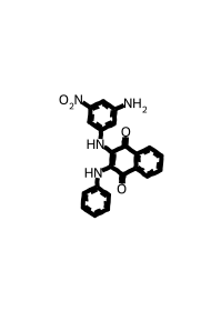 Nc1cc(NC2=C(Nc3ccccc3)C(=O)c3ccccc3C2=O)cc([N+](=O)[O-])c1